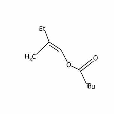 CCC(C)=COC(=O)C(C)CC